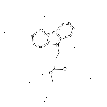 COC(=O)CCn1c2ccccc2c2ccccc21